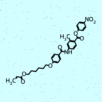 C=CC(=O)OCCCCCCOc1ccc(C(=O)Nc2ccc(C(=O)Oc3ccc([N+](=O)[O-])cc3)c(C)c2)cc1